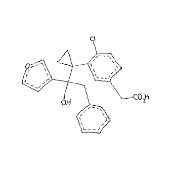 O=C(O)Cc1ccc(Cl)c(C2(C(O)(Cc3ccccc3)c3ccoc3)CC2)c1